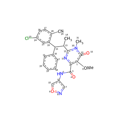 COc1c(C(=O)Nc2cnoc2)nc(C(C)C(c2ccccc2)c2cc(Cl)ccc2C#N)n(C)c1=O